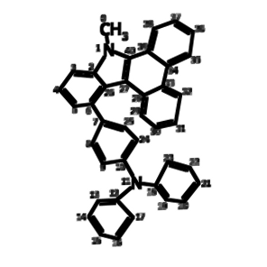 Cn1c2cccc(-c3ccc(N(c4ccccc4)c4ccccc4)cc3)c2c2c3ccccc3c3ccccc3c21